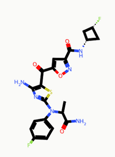 CC(C(N)=O)N(c1ccc(F)cc1)c1nc(N)c(C(=O)c2cc(C(=O)N[C@H]3C[C@@H](F)C3)no2)s1